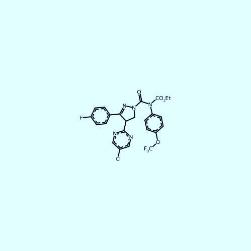 CCOC(=O)N(C(=O)N1CC(c2ncc(Cl)cn2)C(c2ccc(F)cc2)=N1)c1ccc(OC(F)(F)F)cc1